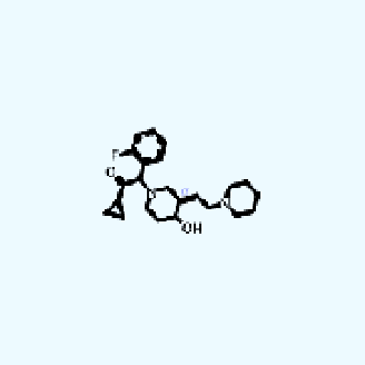 O=C(C1CC1)C(c1ccccc1F)N1CCC(O)/C(=C\CN2CCCCC2)C1